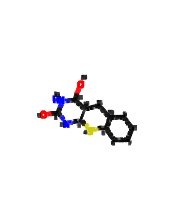 O=c1nc2sc3ccccc3cc-2c(=O)[nH]1